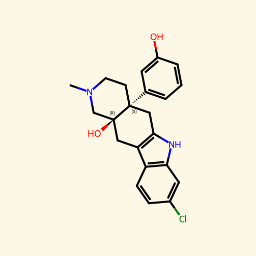 CN1CC[C@@]2(c3cccc(O)c3)Cc3[nH]c4cc(Cl)ccc4c3C[C@]2(O)C1